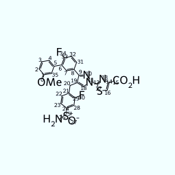 COc1cccc(-c2cc(-c3nn(-c4nc(C(=O)O)cs4)cc3Cc3ccc([S+](N)[O-])cc3F)ccc2F)c1